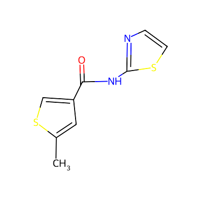 Cc1cc(C(=O)Nc2nccs2)cs1